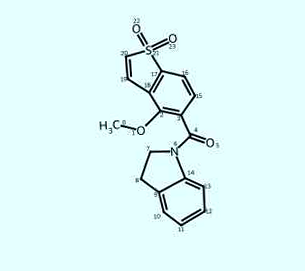 COc1c(C(=O)N2CCc3ccccc32)ccc2c1C=CS2(=O)=O